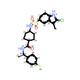 Cc1c(Cl)[nH]c2ccc(S(=O)(=O)NC3CCC(C(=O)N[C@H](C)c4ccc(F)cc4)CC3)cc12